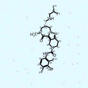 CN1C[C@H](CNCC(F)F)Cn2nc3c(c2C1=O)CN(C(=O)Nc1ccc(F)c(Br)c1F)CC3